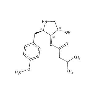 COc1ccc(C[C@H]2NC[C@H](O)[C@H]2OC(=O)CC(C)C)cc1